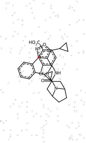 O=C(O)c1ccc(NC(=O)N2C3CCC2CC(OCc2c(-c4ccccc4C4CC4)noc2C2CC2)C3)c(C(F)(F)F)c1